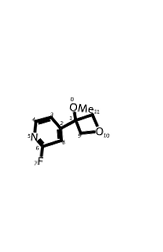 COC1(c2ccnc(F)c2)COC1